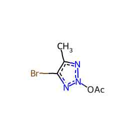 CC(=O)On1nc(C)c(Br)n1